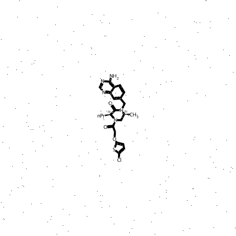 CCC[C@H]1C(=O)N(Cc2ccc3c(N)ncnc3c2)[C@@H](C)CN1C(=O)COc1ccc(Cl)s1